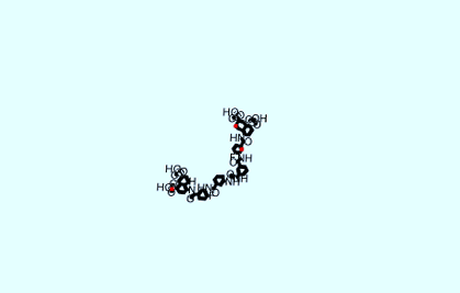 O=C(Nc1cccc(C(=O)Nc2cc(C(=O)Nc3ccc(S(=O)(=O)O)c4cc(S(=O)(=O)O)ccc34)ccc2F)c1)Nc1cccc(C(=O)Nc2cc(C(=O)Nc3ccc(S(=O)(=O)O)c4cc(S(=O)(=O)O)ccc34)ccc2F)c1